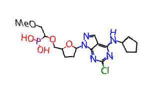 COCC(OCC1CCC(n2ncc3c(NC4CCCC4)nc(Cl)nc32)O1)P(O)O